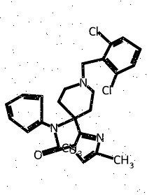 CC(=O)N(c1ccccc1)C1(c2nc(C)cs2)CCN(Cc2c(Cl)cccc2Cl)CC1